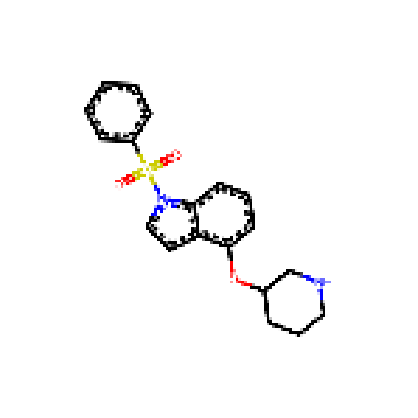 O=S(=O)(c1ccccc1)n1ccc2c(OC3CCCNC3)cccc21